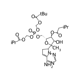 CC(C)CC(=O)O[C@H]1[C@@H](O)[C@](C)(C2CC=C3C(N)=NC=NN32)O[C@@H]1COP(=O)(OCOC(=O)C(C)C)OCOC(=O)C(C)(C)C